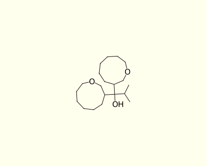 CC(C)C(O)(C1CCCCCCOC1)C1CCCCCCOC1